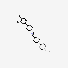 CCCC[C@H]1CC[C@H](C2CCC(/C=C/[C@H]3CC[C@H](c4ccc(F)c(F)c4)CC3)CC2)CC1